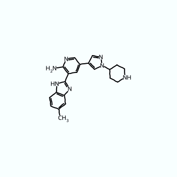 Cc1ccc2[nH]c(-c3cc(-c4cnn(C5CCNCC5)c4)cnc3N)nc2c1